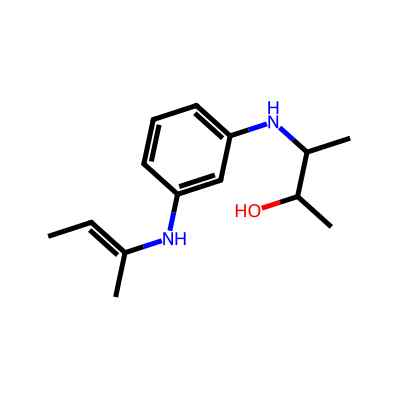 CC=C(C)Nc1cccc(NC(C)C(C)O)c1